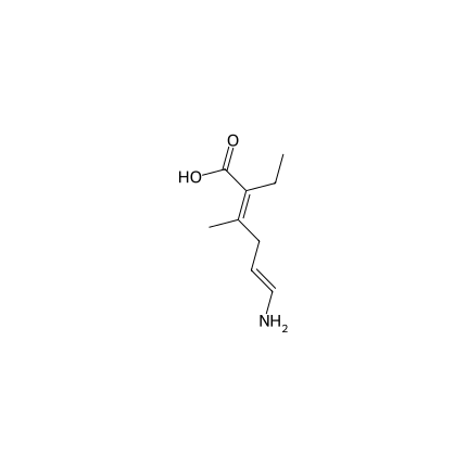 CCC(C(=O)O)=C(C)CC=CN